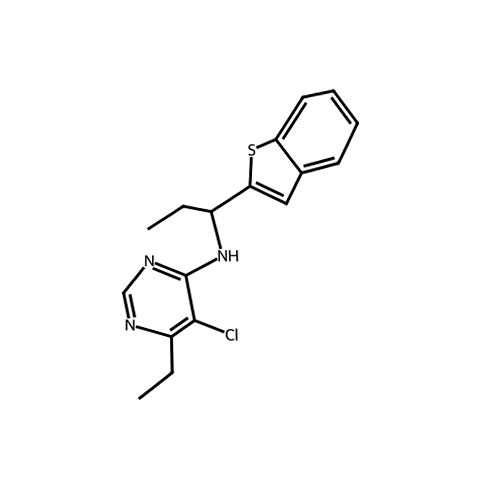 CCc1ncnc(NC(CC)c2cc3ccccc3s2)c1Cl